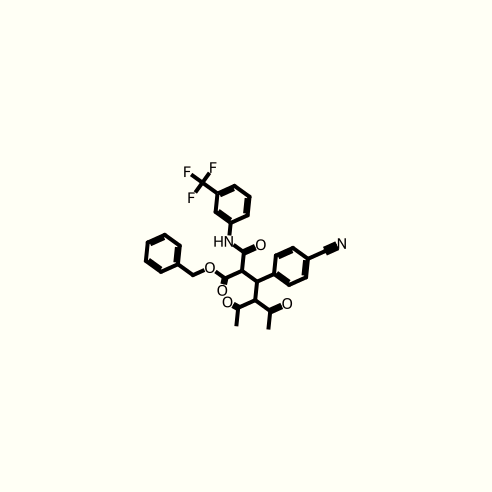 CC(=O)C(C(C)=O)C(c1ccc(C#N)cc1)C(C(=O)Nc1cccc(C(F)(F)F)c1)C(=O)OCc1ccccc1